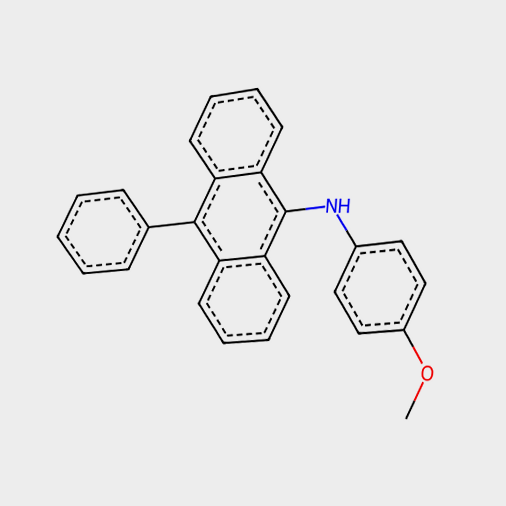 COc1ccc(Nc2c3ccccc3c(-c3ccccc3)c3ccccc23)cc1